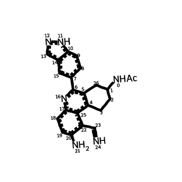 CC(=O)NC1CCc2c(c(-c3ccc4[nH]ncc4c3)nc3ccc(N)c(C=N)c23)C1